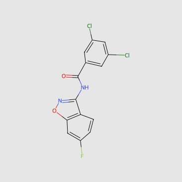 O=C(Nc1noc2cc(F)ccc12)c1cc(Cl)cc(Cl)c1